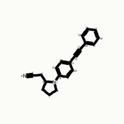 N#CCC1CCCN1c1ccc(C#Cc2ccccc2)cc1